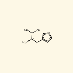 CC(C)(C)C(O)[C@@H](Cc1ccoc1)C(=O)O